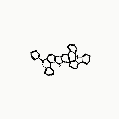 c1ccc(-c2nc3ccccc3c3c2ccc2c4cc(-c5ccccc5-n5c6ccccc6c6ccccc65)ccc4sc23)cc1